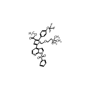 COC(=O)c1cc(-c2ccnc3c2ccn3S(=O)(=O)c2ccccc2)n(COCC[Si](C)(C)C)c1-c1ccc(OC(F)(F)F)cc1